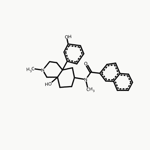 CN1CCC2(c3cccc(O)c3)CC(N(C)C(=O)c3ccc4ccccc4c3)CCC2(O)C1